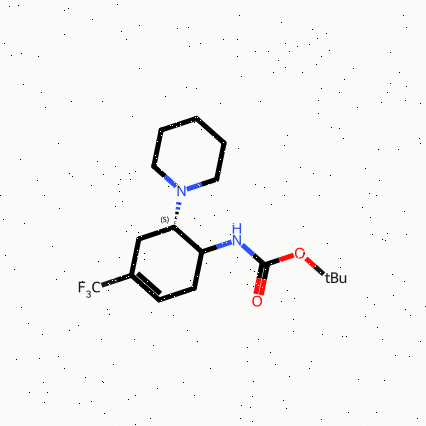 CC(C)(C)OC(=O)NC1CC=C(C(F)(F)F)C[C@@H]1N1CCCCC1